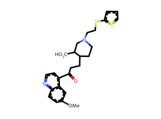 COc1ccc2nccc(C(=O)CCC3CCN(CCSc4cccs4)CC3C(=O)O)c2c1